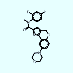 CN(C(=O)c1cc2c(s1)-c1cc(N3CCOCC3)ccc1OC2)c1ccc(F)cc1F